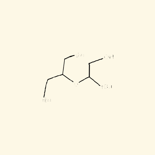 CC(C)(C)CC(CC(C)(C)C)OC(CO)C(C)(C)C